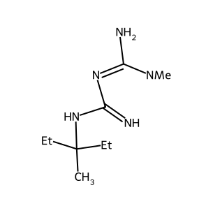 CCC(C)(CC)NC(=N)/N=C(/N)NC